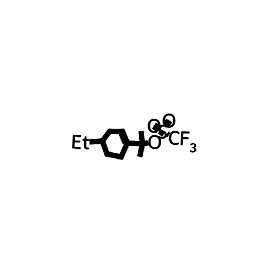 CCC1CC=C(C(C)(C)OS(=O)(=O)C(F)(F)F)CC1